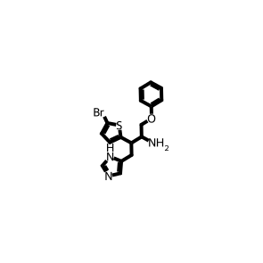 NC(COc1ccccc1)C(Cc1cnc[nH]1)c1ccc(Br)s1